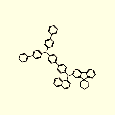 C1=CC(c2ccc(N(c3ccc(-c4ccccc4)cc3)c3ccc(-c4ccc(N(c5ccc6c(c5)C5(CCCCC5)c5ccccc5-6)c5cccc6ccccc56)cc4)cc3)cc2)=CCC1